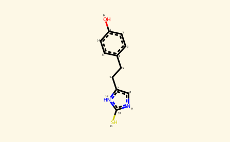 Oc1ccc(CCc2cnc(S)[nH]2)cc1